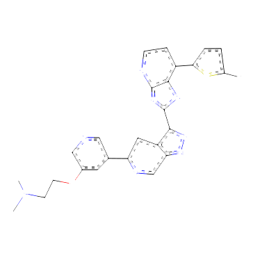 CC(=O)c1ccc(-c2ccnc3[nH]c(-c4n[nH]c5cnc(-c6cncc(OCCN(C)C)c6)cc45)nc23)s1